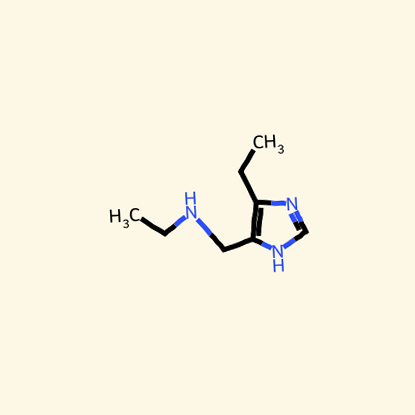 CCNCc1[nH]cnc1CC